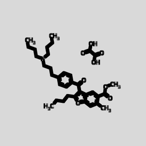 CCCCc1oc2cc(C)c(C(=O)OC)cc2c1C(=O)c1ccc(CCCN(CCCC)CCCC)cc1.O=C(O)C(=O)O